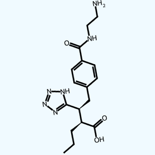 CCC[C@H](C(=O)O)[C@H](Cc1ccc(C(=O)NCCN)cc1)c1nnn[nH]1